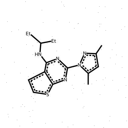 CCC(CC)Nc1nc(-n2nc(C)cc2C)nc2sccc12